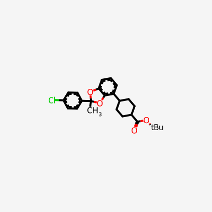 CC(C)(C)OC(=O)C1CCC(c2cccc3c2OC(C)(c2ccc(Cl)cc2)O3)CC1